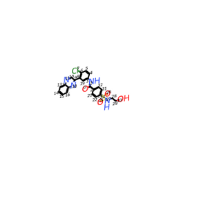 O=C(Nc1ccc(Cl)c(-c2cnc3ccccc3n2)c1)c1ccc(S(=O)(=O)NCCO)cc1